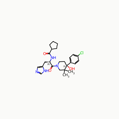 CC1(C)CN(C(=O)[C@@H](Cc2cnc[nH]2)NC(=O)C2CCCC2)CC[C@]1(O)c1ccc(Cl)cc1